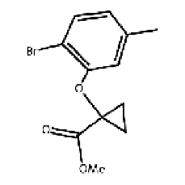 COC(=O)C1(Oc2cc(C)ccc2Br)CC1